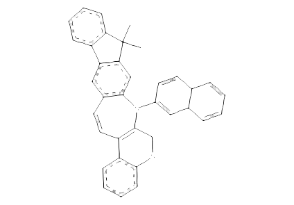 CC1(C)c2ccccc2-c2cc3c(cc21)N(C1=CC2C=CC=CC2C=C1)C1=C(C=C3)c2ccccc2NC1